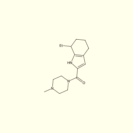 CCC1CCCc2cc(C(=O)N3CCN(C)CC3)[nH]c21